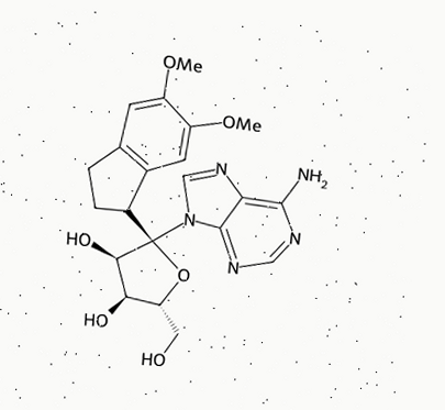 COc1cc2c(cc1OC)C([C@@]1(n3cnc4c(N)ncnc43)O[C@H](CO)[C@@H](O)[C@H]1O)CC2